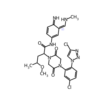 CN/C=C1/C=C(NC(=O)C(CC(C)OC)N2CC(=O)N(c3cc(Cl)ccc3-n3cc(Cl)nn3)CC2=O)C=CC1=N